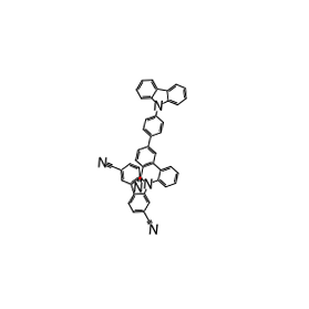 N#Cc1ccc2c(c1)c1ccc(C#N)cc1n2-c1ccccc1-c1cc(-c2ccc(-n3c4ccccc4c4ccccc43)cc2)ccc1C#N